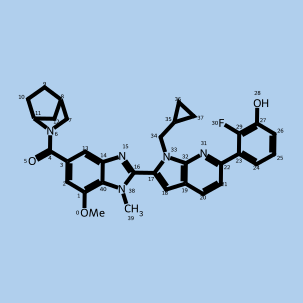 COc1cc(C(=O)N2CC3CCC2C3)cc2nc(-c3cc4ccc(-c5cccc(O)c5F)nc4n3CC3CC3)n(C)c12